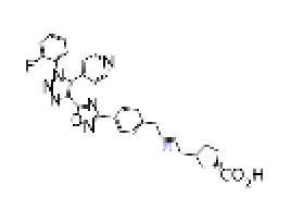 O=C(O)[C@H]1CCC(C/C=C/Cc2ccc(-c3noc(-c4nnn(-c5ccccc5F)c4-c4ccncc4)n3)cc2)C1